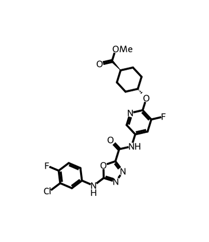 COC(=O)[C@H]1CC[C@H](Oc2ncc(NC(=O)c3nnc(Nc4ccc(F)c(Cl)c4)o3)cc2F)CC1